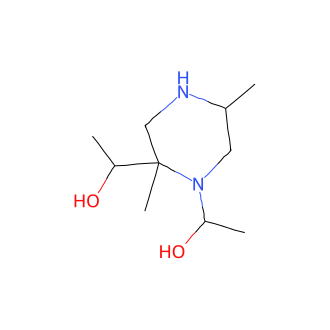 CC1CN(C(C)O)C(C)(C(C)O)CN1